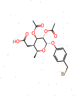 CC(=O)O[C@@H]1[C@H](Oc2ccc(CBr)cc2)O[C@@H](C)[C@@H](CC(=O)O)[C@H]1OC(C)=O